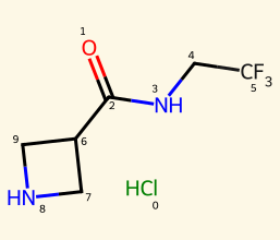 Cl.O=C(NCC(F)(F)F)C1CNC1